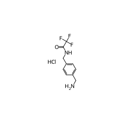 Cl.NCc1ccc(CNC(=O)C(F)(F)F)cc1